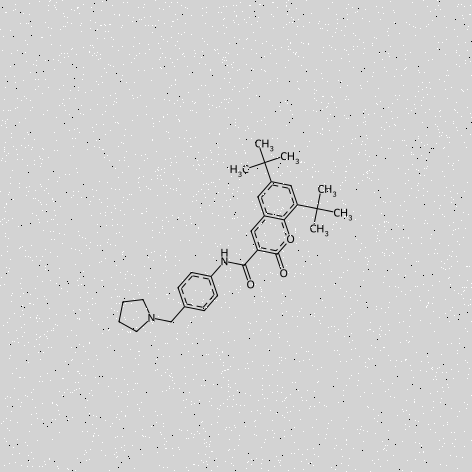 CC(C)(C)c1cc(C(C)(C)C)c2oc(=O)c(C(=O)Nc3ccc(CN4CCCC4)cc3)cc2c1